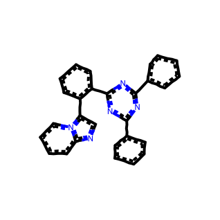 c1ccc(-c2nc(-c3ccccc3)nc(-c3ccccc3-c3cnc4ccccn34)n2)cc1